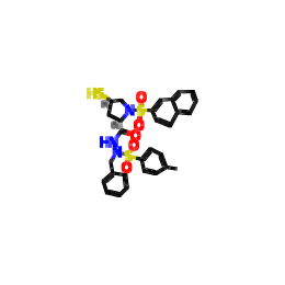 Cc1ccc(S(=O)(=O)N(Cc2ccccc2)NC(=O)[C@@H]2C[C@@H](S)CN2S(=O)(=O)c2ccc3ccccc3c2)cc1